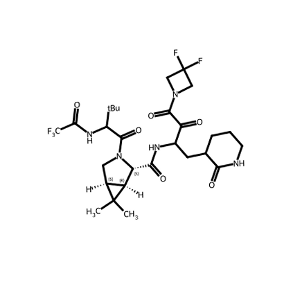 CC(C)(C)C(NC(=O)C(F)(F)F)C(=O)N1C[C@H]2[C@@H]([C@H]1C(=O)NC(CC1CCCNC1=O)C(=O)C(=O)N1CC(F)(F)C1)C2(C)C